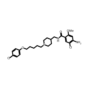 COc1cc(N)c(Cl)cc1C(=O)NCC1CCN(CCCCCOc2ccc(Cl)cc2)CC1